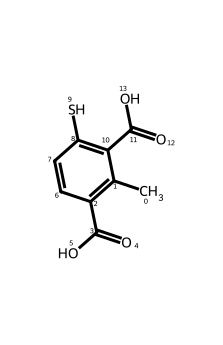 Cc1c(C(=O)O)ccc(S)c1C(=O)O